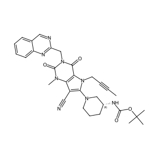 CC#CCn1c(N2CCC[C@@H](NC(=O)OC(C)(C)C)C2)c(C#N)c2c1c(=O)n(Cc1ncc3ccccc3n1)c(=O)n2C